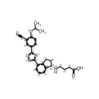 CC(C)Oc1ccc(-c2nc(-c3cccc4c3CC[C@@H]4NCCCC(=O)O)no2)cc1C#N